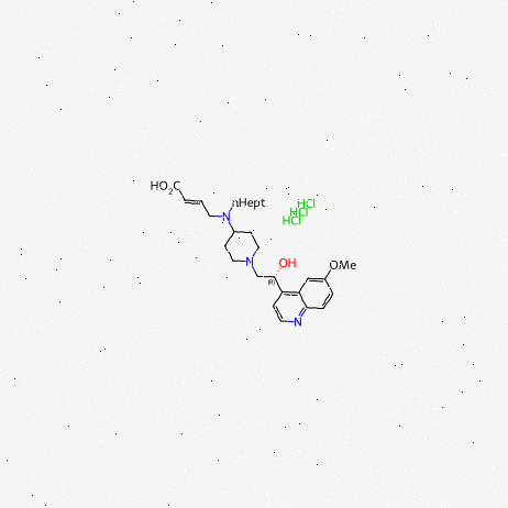 CCCCCCCN(CC=CC(=O)O)C1CCN(C[C@H](O)c2ccnc3ccc(OC)cc23)CC1.Cl.Cl.Cl